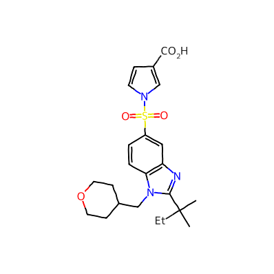 CCC(C)(C)c1nc2cc(S(=O)(=O)n3ccc(C(=O)O)c3)ccc2n1CC1CCOCC1